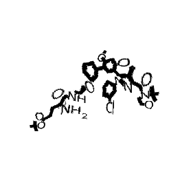 COc1cc2c(cc1-c1cccc(OCCCNC(=O)[C@H](N)CCC(=O)OC(C)(C)C)c1)-c1c(c(C(=O)N3CCOCC3(C)C)nn1-c1cccc(Cl)c1)CO2